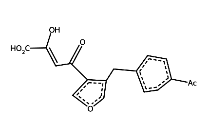 CC(=O)c1ccc(Cc2cocc2C(=O)C=C(O)C(=O)O)cc1